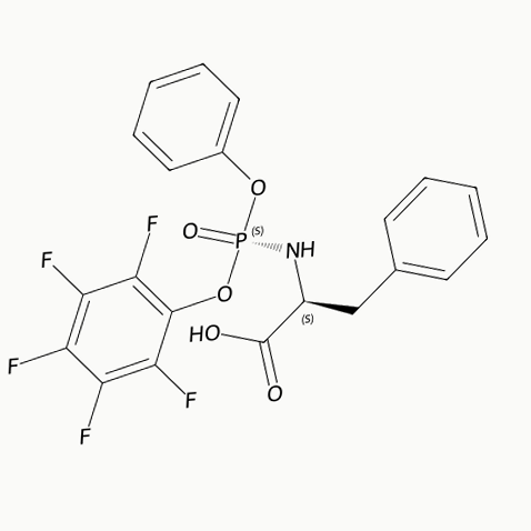 O=C(O)[C@H](Cc1ccccc1)N[P@](=O)(Oc1ccccc1)Oc1c(F)c(F)c(F)c(F)c1F